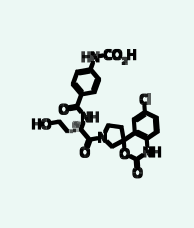 O=C(O)Nc1ccc(C(=O)N[C@@H](CCO)C(=O)N2CCC3(C2)OC(=O)Nc2ccc(Cl)cc23)cc1